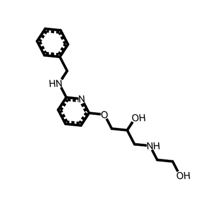 OCCNCC(O)COc1cccc(NCc2ccccc2)n1